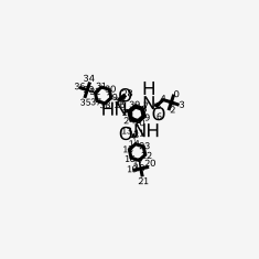 CC(C)(C)CC(=O)Nc1cc(NC(=O)[C@H]2CC[C@H](C(C)(C)C)CC2)cc(NC(=O)[C@H]2CC[C@H](C(C)(C)C)CC2)c1